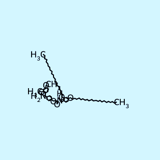 CCCCCCCCCCCCCCCCCCCCCCOc1ccc(CNC(=O)COc2ccc(C(N)c3ccc(OC)cc3OC)cc2)c(OCCCCCCCCCCCCCCCCCCCCCC)c1